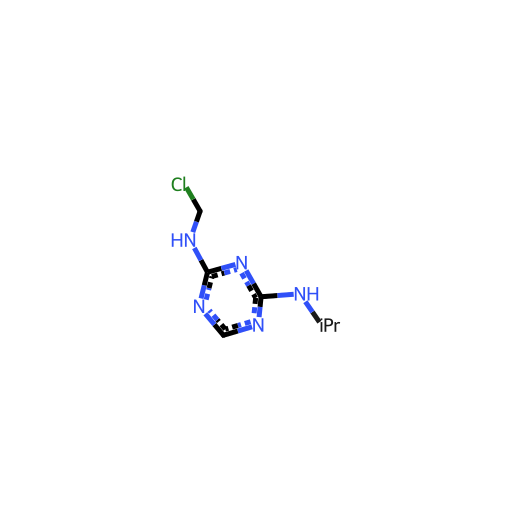 CC(C)Nc1ncnc(NCCl)n1